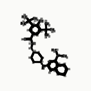 CN(C)c1nc(N[C@H]2CC[C@@H](CNC(=O)c3cc(C(C)(C)C)c(O)c(C(C)(C)C)c3)CC2)nc2ccccc12